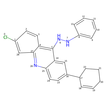 Clc1ccc2c(NNc3ccccc3)c3cc(C4C=CCCC4)ccc3nc2c1